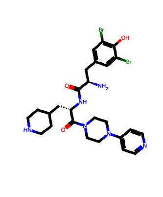 N[C@H](Cc1cc(Br)c(O)c(Br)c1)C(=O)N[C@@H](CC1CCNCC1)C(=O)N1CCN(c2ccncc2)CC1